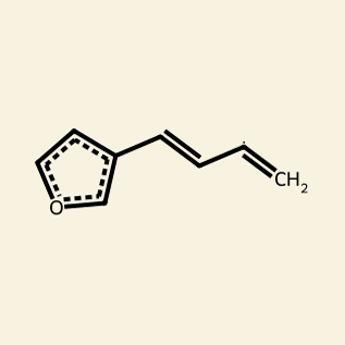 C=[C]C=Cc1ccoc1